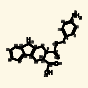 Nc1ccc(CSC(=S)N2Cc3[nH]c4ccccc4c3C[C@@H]2C(=O)O)cc1